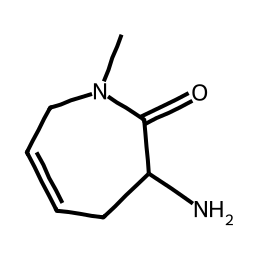 CN1CC=CCC(N)C1=O